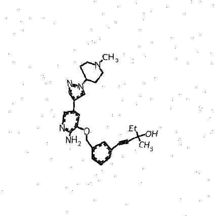 CCC(C)(O)C#Cc1cccc(COc2cc(-c3cnn(C4CCN(C)CC4)c3)cnc2N)c1